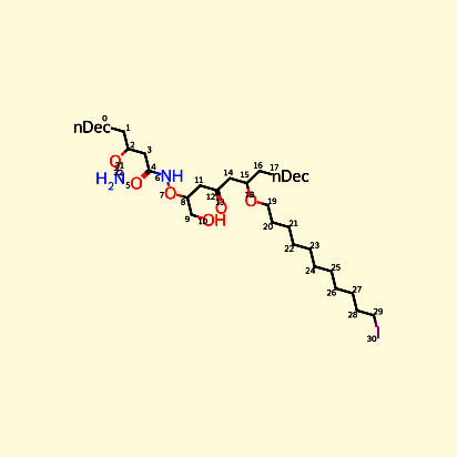 CCCCCCCCCCCC(CC(=O)NOC(CO)CC(=O)CC(CCCCCCCCCCC)OCCCCCCCCCCCI)ON